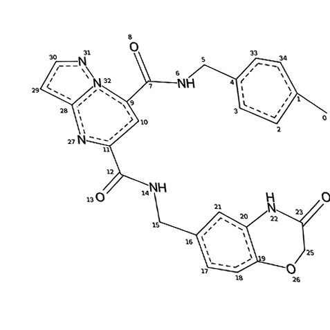 Cc1ccc(CNC(=O)c2cc(C(=O)NCc3ccc4c(c3)NC(=O)CO4)nc3ccnn23)cc1